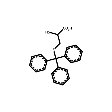 O=C(O)C(S)CSC(c1ccccc1)(c1ccccc1)c1ccccc1